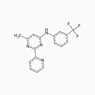 Cc1cc(Nc2cccc(C(F)(F)F)c2)nc(-c2ccccn2)n1